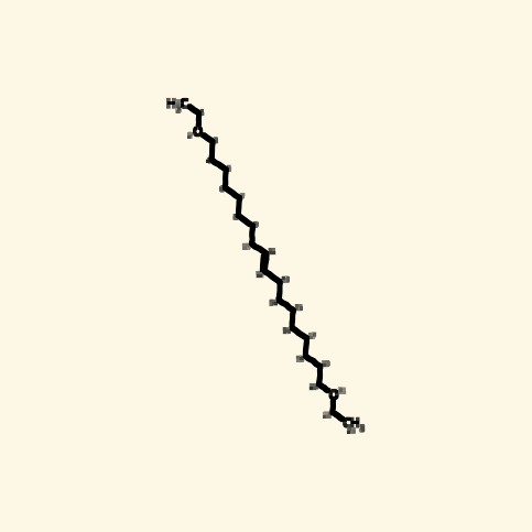 CCOCCCCCCCC/C=C/CCCCCCCCOCC